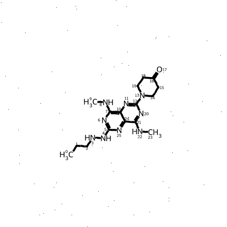 CCCNNc1nc(NC)c2nc(N3CCC(=O)CC3)nc(NC)c2n1